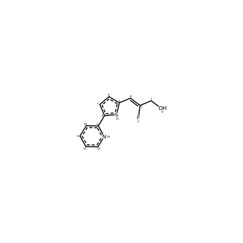 OCC(F)=Cc1ccc(-c2ccccn2)s1